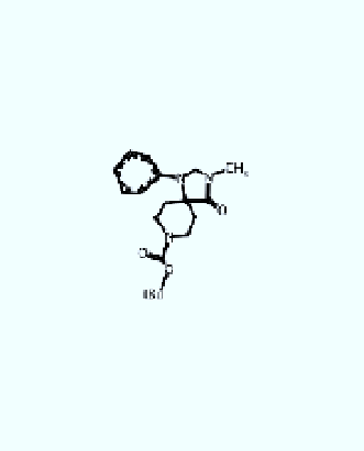 CN1CN(c2ccccc2)C2(CCN(C(=O)OC(C)(C)C)CC2)C1=O